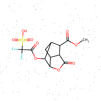 COC(=O)C1C2CC3C(OC(=O)C31)C2OC(=O)C(F)(F)S(=O)(=O)O